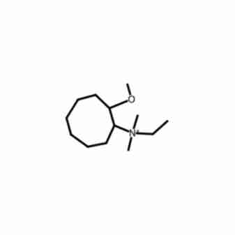 CC[N+](C)(C)C1CCCCCCC1OC